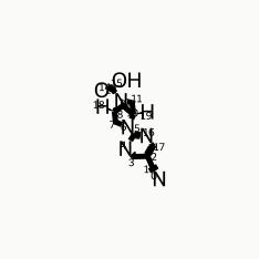 N#Cc1cnc(N2C[C@@H]3C[C@H]2CN3C(=O)O)nc1